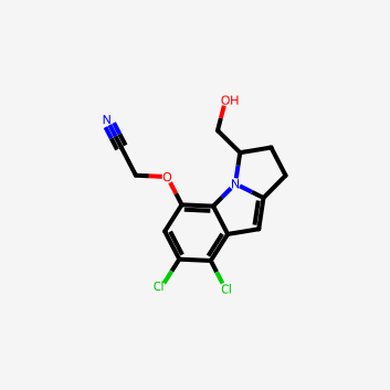 N#CCOc1cc(Cl)c(Cl)c2cc3n(c12)C(CO)CC3